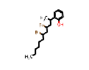 CCCCCCC(Br)CC(Br)CC(C)c1ccccc1O